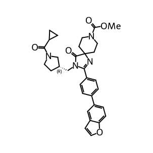 COC(=O)N1CCC2(CC1)N=C(c1ccc(-c3ccc4occc4c3)cc1)N(C[C@@H]1CCN(C(=O)C3CC3)C1)C2=O